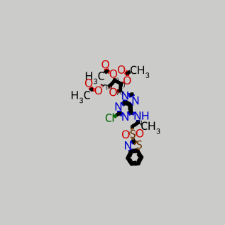 CC(=O)OC[C@H]1O[C@@H](n2cnc3c(N[C@H](C)CS(=O)(=O)c4nc5ccccc5s4)nc(Cl)nc32)[C@H](OC(C)=O)[C@@H]1OC(C)=O